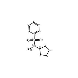 O=S(=O)(c1ccccc1)N(Br)C1CCCC1